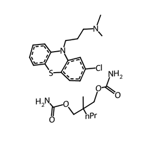 CCCC(C)(COC(N)=O)COC(N)=O.CN(C)CCCN1c2ccccc2Sc2ccc(Cl)cc21